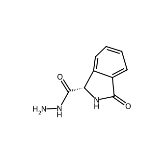 NNC(=O)[C@H]1NC(=O)c2ccccc21